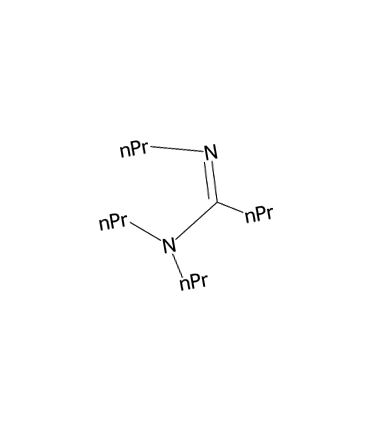 CCCN=C(CCC)N(CCC)CCC